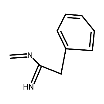 C=NC(=N)Cc1ccccc1